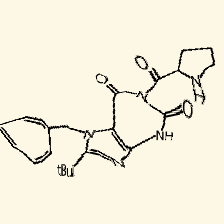 CC(C)(C)c1nc2[nH]c(=O)n(C(=O)C3CCCN3)c(=O)c2n1Cc1ccccc1